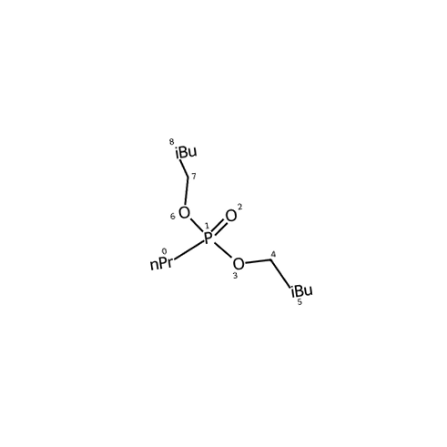 CCCP(=O)(OCC(C)CC)OCC(C)CC